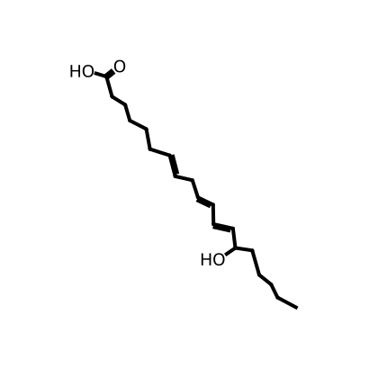 CCCCCC(O)C=CC=CCC=CCCCCCC(=O)O